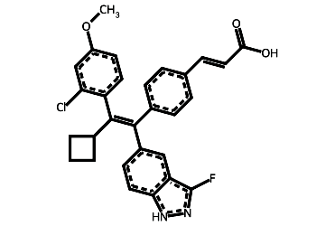 COc1ccc(/C(=C(\c2ccc(/C=C/C(=O)O)cc2)c2ccc3[nH]nc(F)c3c2)C2CCC2)c(Cl)c1